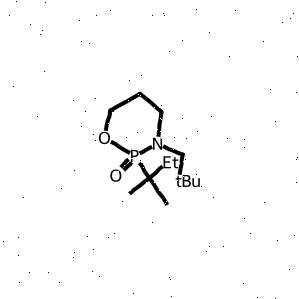 CCC(C)(C)P1(=O)OCCCN1CC(C)(C)C